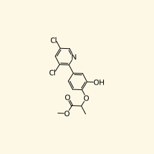 COC(=O)C(C)Oc1ccc(-c2ncc(Cl)cc2Cl)cc1O